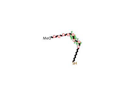 COCCOCCOCCOCCOCC(F)(F)OC(F)(F)C(F)(F)OC(F)(F)C(F)(F)OC(F)(F)COCCCCCCCCCCS